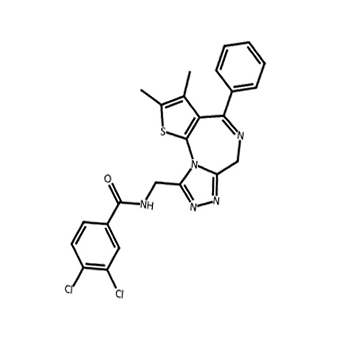 Cc1sc2c(c1C)C(c1ccccc1)=NCc1nnc(CNC(=O)c3ccc(Cl)c(Cl)c3)n1-2